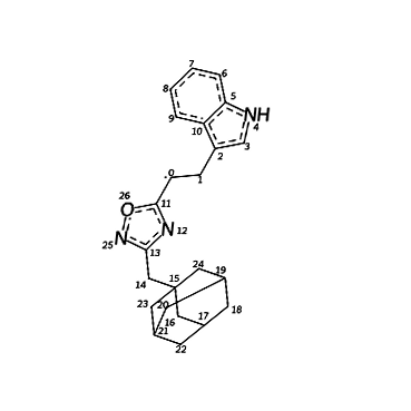 [CH](Cc1c[nH]c2ccccc12)c1nc(CC23CC4CC(CC(C4)C2)C3)no1